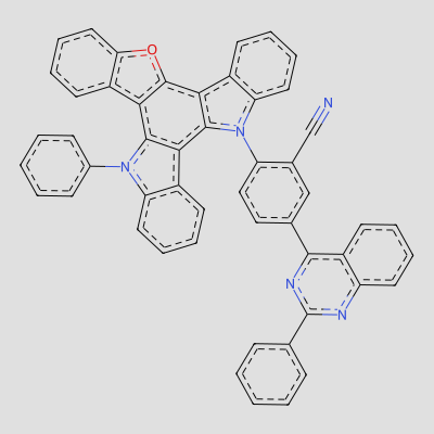 N#Cc1cc(-c2nc(-c3ccccc3)nc3ccccc23)ccc1-n1c2ccccc2c2c3oc4ccccc4c3c3c(c4ccccc4n3-c3ccccc3)c21